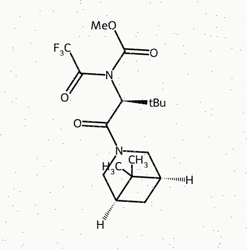 COC(=O)N(C(=O)C(F)(F)F)[C@H](C(=O)N1C[C@H]2C[C@@H](C1)C2(C)C)C(C)(C)C